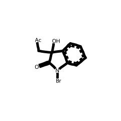 CC(=O)CC1(O)C(=O)N(Br)c2ccccc21